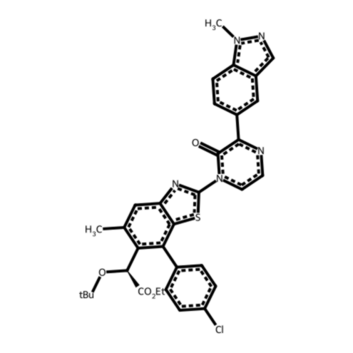 CCOC(=O)[C@@H](OC(C)(C)C)c1c(C)cc2nc(-n3ccnc(-c4ccc5c(cnn5C)c4)c3=O)sc2c1-c1ccc(Cl)cc1